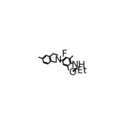 CCC(=O)Nc1c(C)cc(N2CCc3cc(C)ccc3C2)c(F)c1C